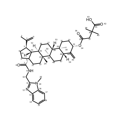 C=C(C)[C@@H]1CC[C@]2(C(=O)NCc3nc4ccccc4n3C)CC[C@]3(C)[C@H](CC[C@@H]4[C@@]5(C)CC[C@H](OC(=O)CC(C)(C)C(=O)O)C(=C)[C@@H]5CC[C@]43C)[C@@H]12